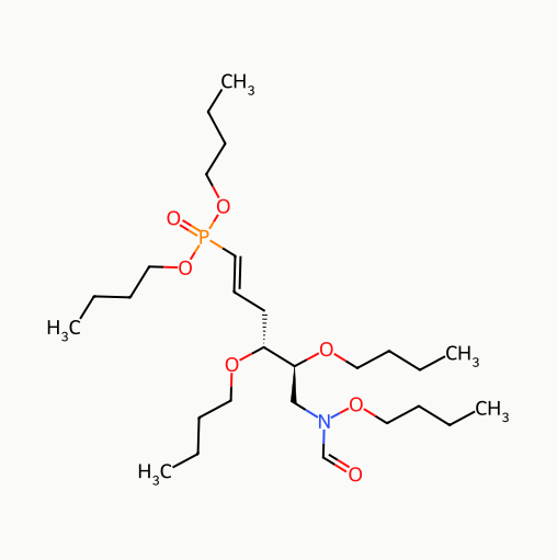 CCCCO[C@@H](CN(C=O)OCCCC)[C@@H](C/C=C/P(=O)(OCCCC)OCCCC)OCCCC